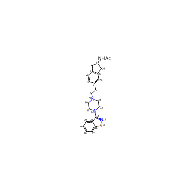 CC(=O)NC1Cc2ccc(CCN3CCN(c4nsc5ccccc45)CC3)cc2C1